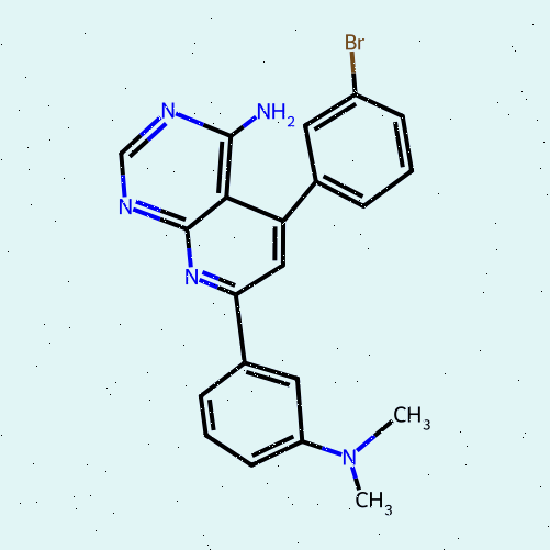 CN(C)c1cccc(-c2cc(-c3cccc(Br)c3)c3c(N)ncnc3n2)c1